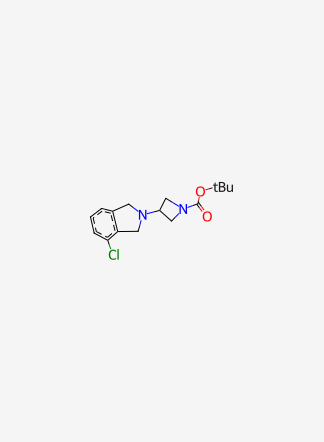 CC(C)(C)OC(=O)N1CC(N2Cc3cccc(Cl)c3C2)C1